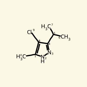 Cc1[nH]nc(C(C)C)c1Cl